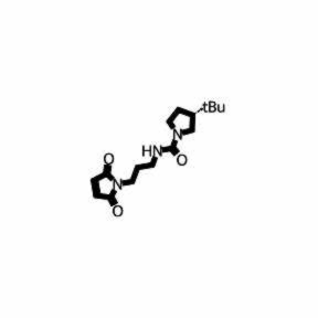 CC(C)(C)[C@H]1CCN(C(=O)NCCCN2C(=O)C=CC2=O)C1